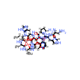 CC[C@H](C)[C@H](NC(=O)[C@@H](NC(=O)[C@H](CC(C)C)NC(=O)[C@H](Cc1c[nH]cn1)NC(=O)[C@H](Cc1ccccc1)NC(=O)[C@@H]1CCCN1C(=O)[C@H](Cc1c[nH]cn1)NC(=O)[C@@H](N)CN)C(C)C)C(=O)N[C@@H](Cc1c[nH]cn1)C(=O)N[C@@H](CCCCN)C(=O)O